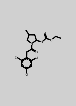 CCOC(=O)OC1CC(C)CN1C(=O)Cc1c(Cl)cc(Cl)cc1Cl